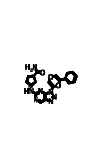 NC(=O)[C@@H]1CC[C@@H](Nc2ncc3nnn(C4=COC=C(C5=CC=CCC5)O4)c3n2)C1